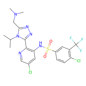 CC(C)n1c(CN(C)C)nnc1-c1ncc(Cl)cc1NS(=O)(=O)c1ccc(Cl)c(C(F)(F)F)c1